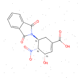 O=C(O)C1=C[C@H](O)[C@H]([N+](=O)[O-])[C@@H](N2C(=O)c3ccccc3C2=O)C1